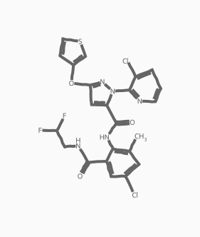 Cc1cc(Cl)cc(C(=O)NCC(F)F)c1NC(=O)c1cc(Oc2ccsc2)nn1-c1ncccc1Cl